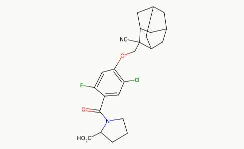 N#CC1(COc2cc(F)c(C(=O)N3CCCC3C(=O)O)cc2Cl)C2CC3CC(C2)CC1C3